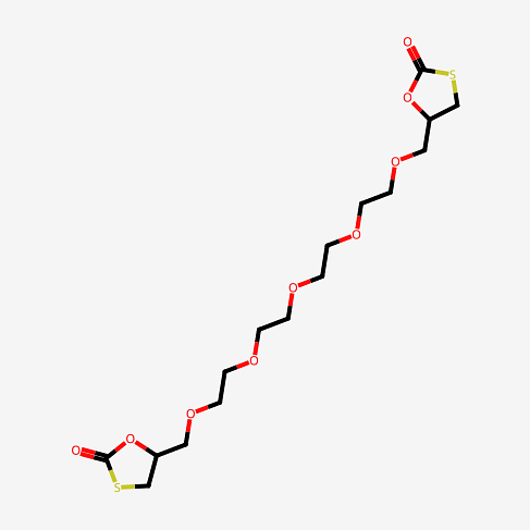 O=C1OC(COCCOCCOCCOCCOCC2CSC(=O)O2)CS1